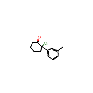 Cc1cccc(C2(Cl)CCCCC2=O)c1